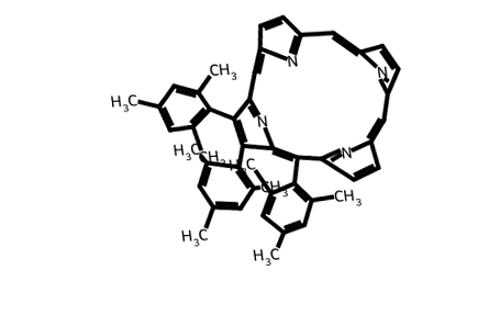 Cc1cc(C)c(C2=C3N=C(C=C4C=CC(=N4)C=C4C=CC(=N4)C=C4C=CC2=N4)C(c2c(C)cc(C)cc2C)=C3c2c(C)cc(C)cc2C)c(C)c1